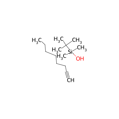 C#CCCCCCC.CC(C)(C)[Si](C)(C)O